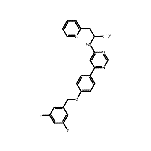 O=C(O)[C@H](Cc1ccccn1)Nc1cc(-c2ccc(OCc3cc(F)cc(F)c3)cc2)ncn1